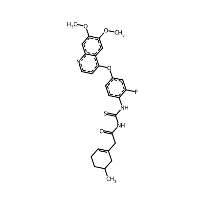 COc1cc2nccc(Oc3ccc(NC(=S)NC(=O)CC4=CCCC(C)C4)c(F)c3)c2cc1OC